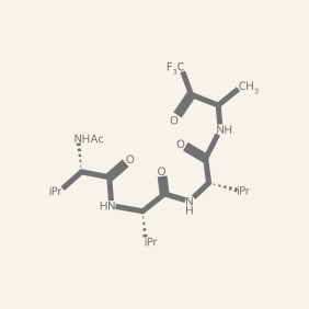 CC(=O)N[C@H](C(=O)N[C@H](C(=O)N[C@H](C(=O)NC(C)C(=O)C(F)(F)F)C(C)C)C(C)C)C(C)C